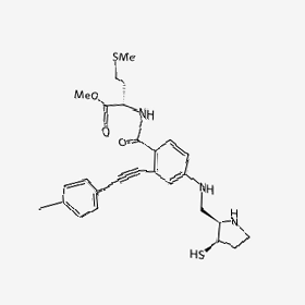 COC(=O)[C@H](CCSC)NC(=O)c1ccc(NC[C@H]2NCC[C@H]2S)cc1C#Cc1ccc(C)cc1